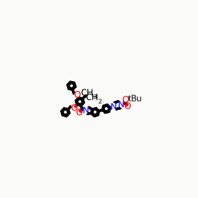 C=C(C)c1cc(C(=O)N2Cc3ccc(-c4ccc(N5CCN(C(=O)OC(C)(C)C)CC5)cc4)cc3C2)c(OCc2ccccc2)cc1OCc1ccccc1